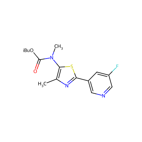 Cc1nc(-c2cncc(F)c2)sc1N(C)C(=O)OCC(C)C